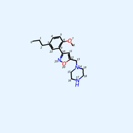 CCCc1ccc(OC)c(-c2cc(CN3CCNCC3)on2)c1